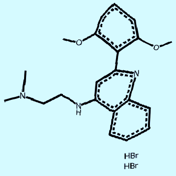 Br.Br.COc1cccc(OC)c1-c1cc(NCCN(C)C)c2ccccc2n1